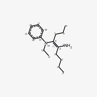 CCCC/C(N)=C(/CCC)N(CC)c1ccccc1